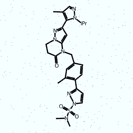 Cc1cc(CN2C(=O)CCn3nc(-c4c(C)cnn4C(C)C)cc32)ccc1-c1ccn(S(=O)(=O)N(C)C)n1